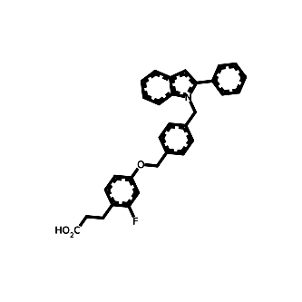 O=C(O)CCc1ccc(OCc2ccc(Cn3c(-c4ccccc4)cc4ccccc43)cc2)cc1F